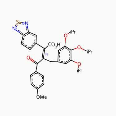 COc1ccc(C(=O)/C(Cc2cc(OC(C)C)c(OC(C)C)c(OC(C)C)c2)=C(/C(=O)O)c2ccc3nsnc3c2)cc1